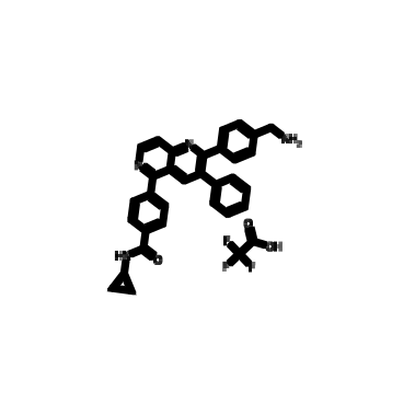 NCc1ccc(-c2nc3ccnc(-c4ccc(C(=O)NC5CC5)cc4)c3cc2-c2ccccc2)cc1.O=C(O)C(F)(F)F